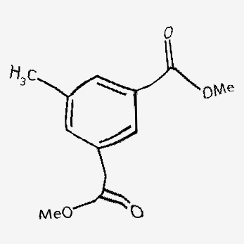 COC(=O)c1cc(C)cc(C(=O)OC)c1